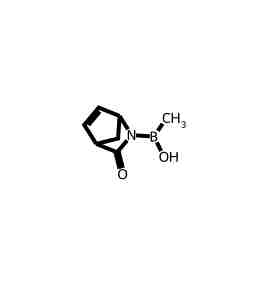 CB(O)N1C(=O)C2C=CC1C2